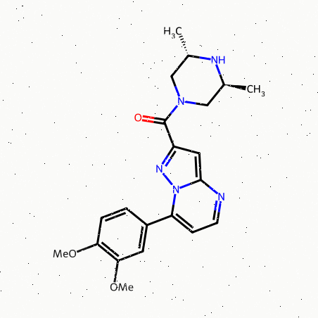 COc1ccc(-c2ccnc3cc(C(=O)N4C[C@H](C)N[C@@H](C)C4)nn23)cc1OC